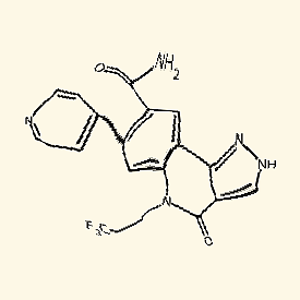 NC(=O)c1cc2c3n[nH]cc3c(=O)n(CC(F)(F)F)c2cc1-c1ccncc1